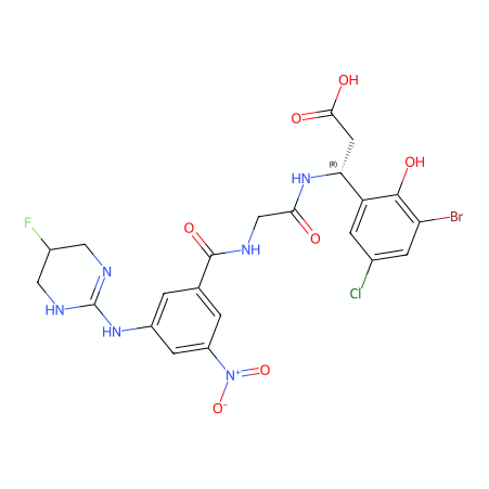 O=C(O)C[C@@H](NC(=O)CNC(=O)c1cc(NC2=NCC(F)CN2)cc([N+](=O)[O-])c1)c1cc(Cl)cc(Br)c1O